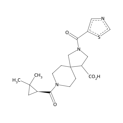 CC1(C)C[C@@H]1C(=O)N1CCC2(CC1)CN(C(=O)c1cncs1)CC2C(=O)O